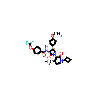 COc1ccc([C@@H]2CN(c3c(C)ccn(C4CCC4)c3=O)C(=O)[C@H]2NC(=O)c2ccc(OC(F)F)cc2)cc1